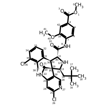 COC(=O)c1ccc(NC(=O)[C@@H]2N[C@@H](CC(C)(C)C)[C@@]3(C(=O)Nc4cc(Cl)ncc43)[C@H]2c2cccc(Cl)c2F)c(OC)c1